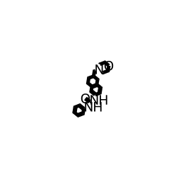 O=C(Nc1ccccc1)Nc1ccc2c(c1)CCC(CN1CCOCC1)C2